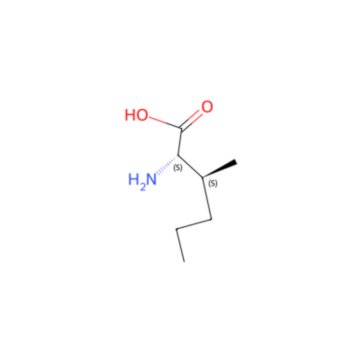 CCC[C@H](C)[C@H](N)C(=O)O